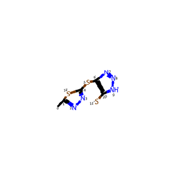 Cc1nnc(Sc2nn[nH]c2[S])s1